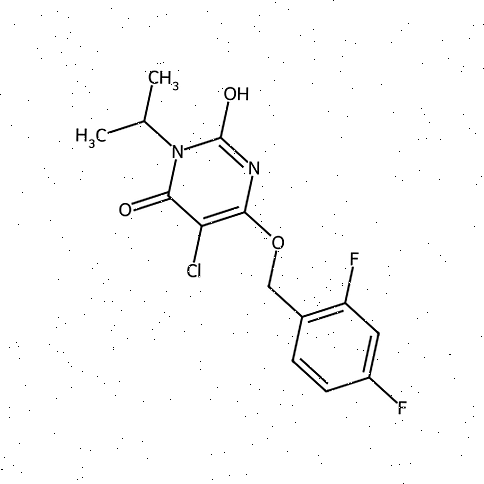 CC(C)n1c(O)nc(OCc2ccc(F)cc2F)c(Cl)c1=O